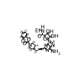 CCNC(=O)[C@H]1O[C@@H](n2cnc3c(N)nc(C#CCC4CCN(C(=O)Oc5ccccc5Cl)CC4)nc32)C(O)C1O